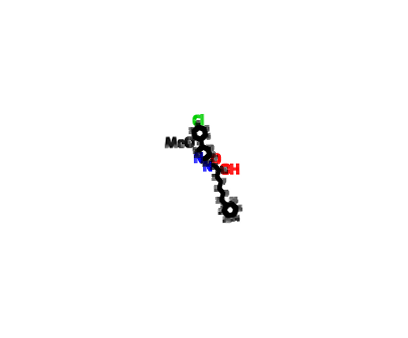 COc1cc(Cl)ccc1-c1cnc2nc(C(O)CCCCCc3ccccc3)oc2c1